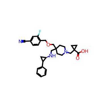 N#Cc1ccc(COCC2(CN[C@@H]3CC3c3ccccc3)CCN(CC3(C(=O)O)CC3)CC2)c(F)c1